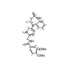 COc1ccc(C(=O)NCC(=O)N(C)CC(=O)N2c3ccccc3NC(=O)C[C@H]2C)cc1OC